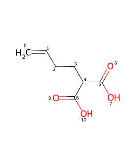 C=CCCC(C(=O)O)C(=O)O